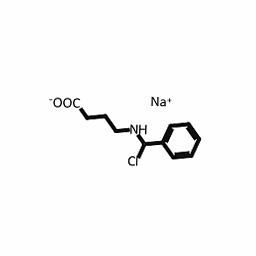 O=C([O-])CCCNC(Cl)c1ccccc1.[Na+]